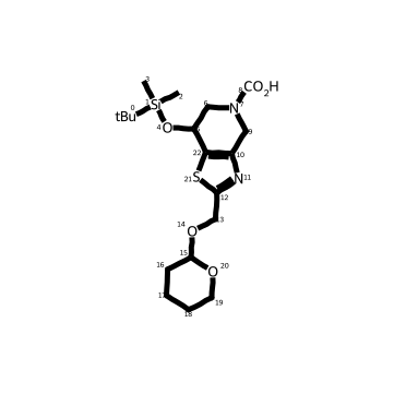 CC(C)(C)[Si](C)(C)OC1CN(C(=O)O)Cc2nc(COC3CCCCO3)sc21